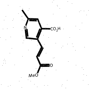 COC(=O)C=Cc1cnc(C)cc1C(=O)O